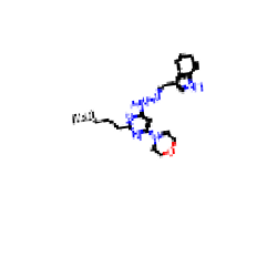 COCCCc1nc(NN=Cc2c[nH]c3ccccc23)cc(N2CCOCC2)n1